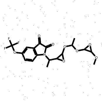 COC1OC1OC(C)OC1OC1C(C)N1C(=O)C(=O)c2cc(OC(F)(F)F)ccc21